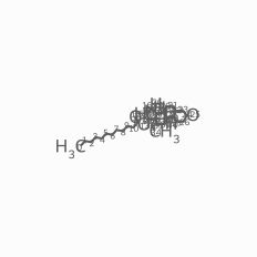 CCCCCCCCCCCC(=O)O[C@H]1[C@@H]2C[C@@H]2[C@H]2[C@@H]3CCC4=CC(=O)CC[C@@H]4[C@H]3CC[C@@]21CC